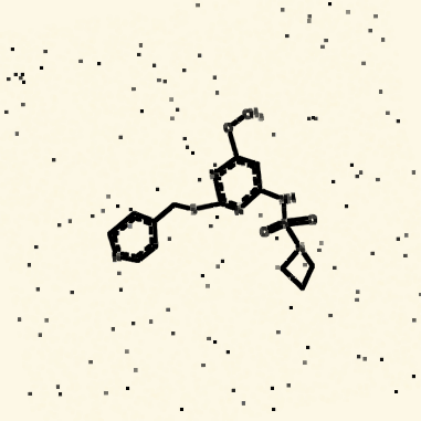 COc1cc(NS(=O)(=O)N2CCC2)nc(SCc2ccncc2)n1